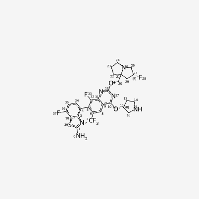 Nc1nc2c(-c3c(C(F)(F)F)cc4c(O[C@@H]5CCNC5)nc(OCC56CCCN5C[C@H](F)C6)nc4c3F)ccc(F)c2s1